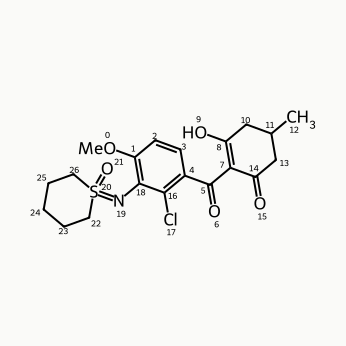 COc1ccc(C(=O)C2=C(O)CC(C)CC2=O)c(Cl)c1N=S1(=O)CCCCC1